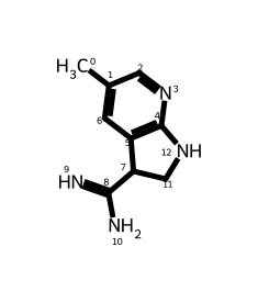 Cc1cnc2c(c1)C(C(=N)N)CN2